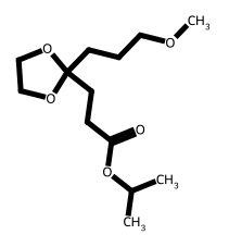 COCCCC1(CCC(=O)OC(C)C)OCCO1